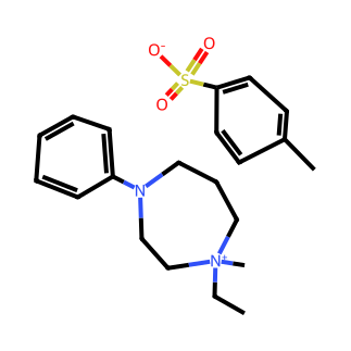 CC[N+]1(C)CCCN(c2ccccc2)CC1.Cc1ccc(S(=O)(=O)[O-])cc1